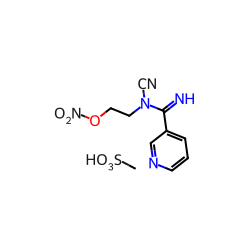 CS(=O)(=O)O.N#CN(CCO[N+](=O)[O-])C(=N)c1cccnc1